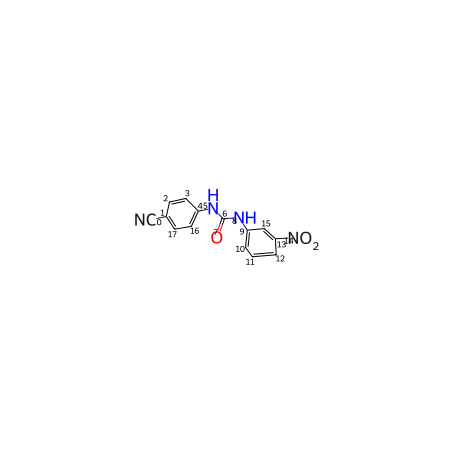 N#Cc1ccc(NC(=O)Nc2cccc([N+](=O)[O-])c2)cc1